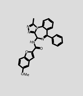 COc1ccc2oc(C(=O)NC3N=C(c4ccccc4)c4ccccc4-n4c(C)nnc43)cc2c1